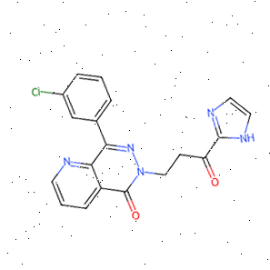 O=C(CCn1nc(-c2cccc(Cl)c2)c2ncccc2c1=O)c1ncc[nH]1